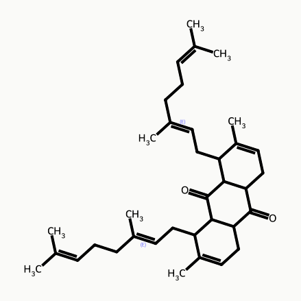 CC(C)=CCC/C(C)=C/CC1C(C)=CCC2C(=O)C3CC=C(C)C(C/C=C(\C)CCC=C(C)C)C3C(=O)C21